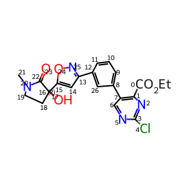 CCOC(=O)c1nc(Cl)ncc1-c1cccc(-c2cc([C@]3(O)CCN(C)C3=O)on2)c1